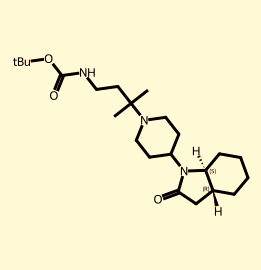 CC(C)(C)OC(=O)NCCC(C)(C)N1CCC(N2C(=O)C[C@H]3CCCC[C@@H]32)CC1